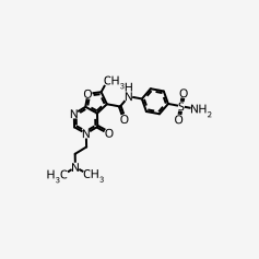 Cc1oc2ncn(CCN(C)C)c(=O)c2c1C(=O)Nc1ccc(S(N)(=O)=O)cc1